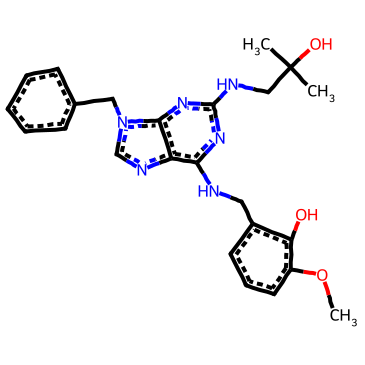 COc1cccc(CNc2nc(NCC(C)(C)O)nc3c2ncn3Cc2ccccc2)c1O